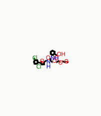 COCCOCCOCC(NCc1ccc(-c2cc(Cl)ccc2Cl)o1)C(=O)Nc1ccccc1C(=O)O